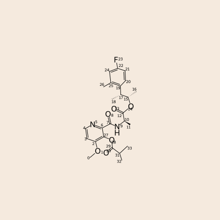 COc1ccnc(C(=O)N[C@H](C)C(=O)O[C@@H](C)[C@H](C)c2ccc(F)cc2C)c1OC(=O)C(C)C